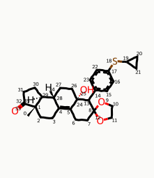 C[C@]12CCC3=C4CCC5(OCCO5)C(c5ccc(SC6CC6)cc5)[C@]4(O)CC[C@H]3[C@@H]1CCC2=O